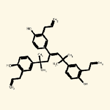 C=CCc1cc(C(=CC(C)(C)c2ccc(O)c(CC=C)c2)CC(C)(C)c2ccc(O)c(CC=C)c2)ccc1O